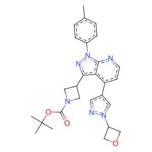 Cc1ccc(-n2nc(C3CN(C(=O)OC(C)(C)C)C3)c3c(-c4cnn(C5COC5)c4)ccnc32)cc1